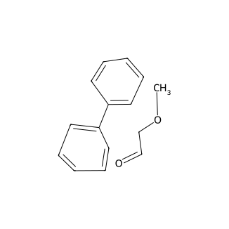 COCC=O.c1ccc(-c2ccccc2)cc1